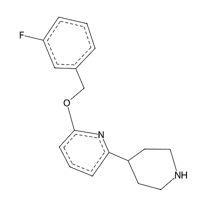 Fc1cccc(COc2cccc(C3CCNCC3)n2)c1